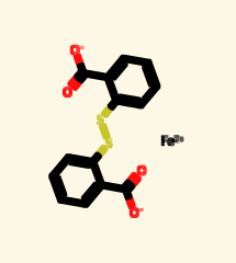 O=C([O-])c1ccccc1SSc1ccccc1C(=O)[O-].[Fe+2]